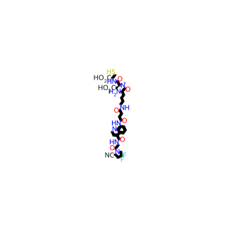 CN(C(=O)[C@@H](N)CCCCNC(=O)CCC(=O)Nc1cccc2c(C(=O)NCC(=O)N3CC(F)(F)C[C@H]3C#N)ccnc12)[C@@H](CC(=O)O)C(=O)N[C@@H](CS)C(=O)O